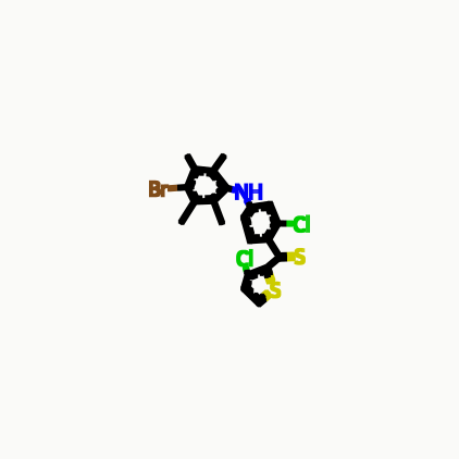 Cc1c(C)c(Nc2ccc(C(=S)c3sccc3Cl)c(Cl)c2)c(C)c(C)c1Br